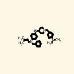 CC(C)=CCN(Cc1ccccc1)c1ccc(NC2CCN(Cc3ccc(N(C)C)cc3)CC2)cc1